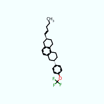 CCC/C=C/[C@H]1CCc2c(ccc3c2CC[C@H](c2ccc(OC(F)(F)F)cc2)C3)C1